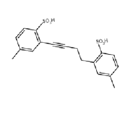 Cc1ccc(S(=O)(=O)O)c(C#CCCc2cc(C)ccc2S(=O)(=O)O)c1